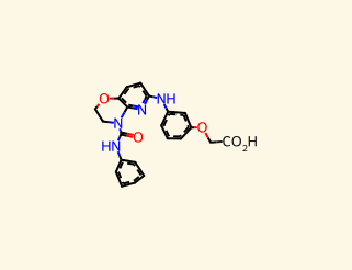 O=C(O)COc1cccc(Nc2ccc3c(n2)N(C(=O)Nc2ccccc2)CCO3)c1